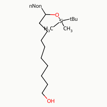 CCCCCCCCCC(CCCCCCCCCO)O[Si](C)(C)C(C)(C)C